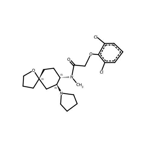 CN(C(=O)COc1c(Cl)cccc1Cl)[C@H]1CC[C@]2(CCCO2)C[C@@H]1N1CCCC1